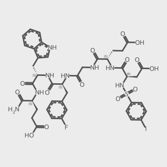 NC(=O)[C@H](CCC(=O)O)NC(=O)[C@H](Cc1c[nH]c2ccccc12)NC(=O)[C@H](Cc1cccc(F)c1)NC(=O)CNC(=O)[C@H](CCC(=O)O)NC(=O)[C@@H](CC(=O)O)NS(=O)(=O)c1ccc(I)cc1